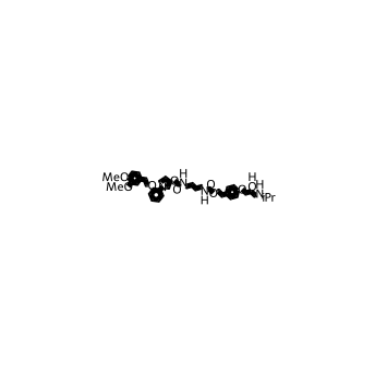 COc1ccc(CCO[C@@H]2CCCCC2N2CC[C@@H](OC(=O)NCCCCNC(=O)OCCc3ccc(OCC(O)CNC(C)C)cc3)C2)cc1OC